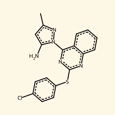 Cc1cc(N)n(-c2nc(Sc3ccc(Cl)cc3)nc3ccccc23)n1